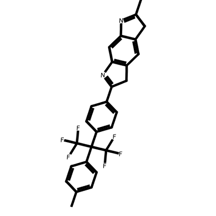 CC1=Nc2cc3c(cc2C1)CC(c1ccc(C(c2ccc(C)cc2)(C(F)(F)F)C(F)(F)F)cc1)=N3